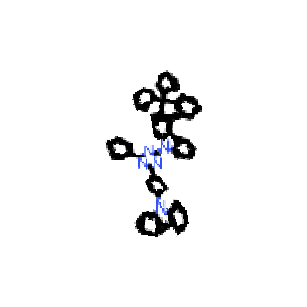 c1ccc(-c2nc(-c3ccc(-n4c5ccccc5c5ccccc54)cc3)nc(-n3c4ccccc4c4c5c(ccc43)C(c3ccccc3)(c3ccccc3)c3ccccc3-5)n2)cc1